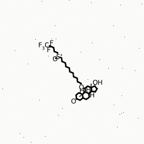 C[C@]12CCC(=O)CC1CC[C@@H]1[C@H]2C(OCCCCCCCCCCC[S+]([O-])CCCC(F)(F)C(F)(F)F)C[C@]2(C)C(O)CC[C@@H]12